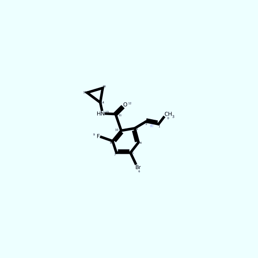 C/C=C/c1cc(Br)cc(F)c1C(=O)NC1CC1